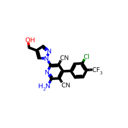 N#Cc1c(N)nc(-n2cc(CO)cn2)c(C#N)c1-c1ccc(C(F)(F)F)c(Cl)c1